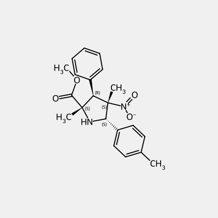 COC(=O)[C@@]1(C)N[C@@H](c2ccc(C)cc2)[C@@](C)([N+](=O)[O-])[C@@H]1c1ccccc1